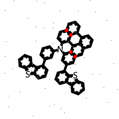 c1ccc(-c2cccc3cccc(-c4ccccc4N(c4cccc(-c5cccc6c5sc5ccccc56)c4)c4cccc(-c5cccc6sc7ccccc7c56)c4)c23)cc1